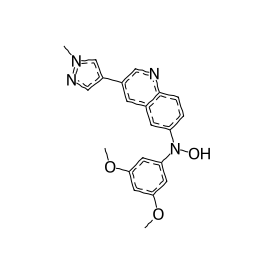 COc1cc(OC)cc(N(O)c2ccc3ncc(-c4cnn(C)c4)cc3c2)c1